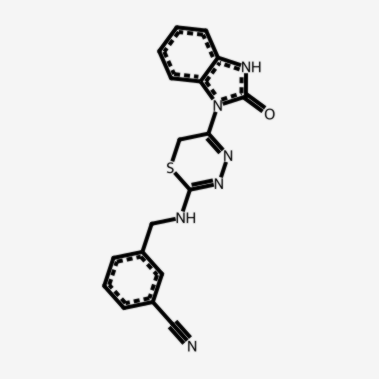 N#Cc1cccc(CNC2=NN=C(n3c(=O)[nH]c4ccccc43)CS2)c1